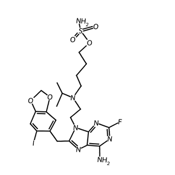 CC(C)N(CCCCOS(N)(=O)=O)CCn1c(Cc2cc3c(cc2I)OCO3)nc2c(N)nc(F)nc21